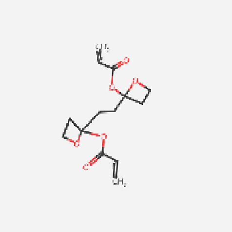 C=CC(=O)OC1(CCC2(OC(=O)C=C)CCO2)CCO1